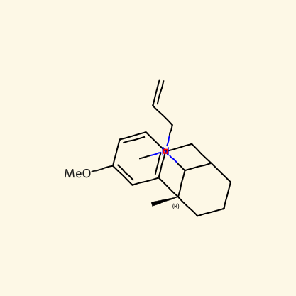 C=CCN(C)C1C2CCC[C@]1(C)c1cc(OC)ccc1C2